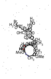 C=C(CBr)C(=O)NCCCCC(C=O)N[C@H](C(=O)N[C@@H](CCCNC(N)=O)C(=O)Nc1ccc(C(=O)N(C)[C@@H](C)C(=O)O[C@H]2CC(=O)N(C)c3cc(cc(OC)c3Cl)C/C(C)=C/C=C/[C@@H](OC)[C@@]3(O)C[C@H](OC(=O)N3)[C@@H](C)[C@@H]3O[C@@]23C)cc1N1CCOCC1)C(C)C